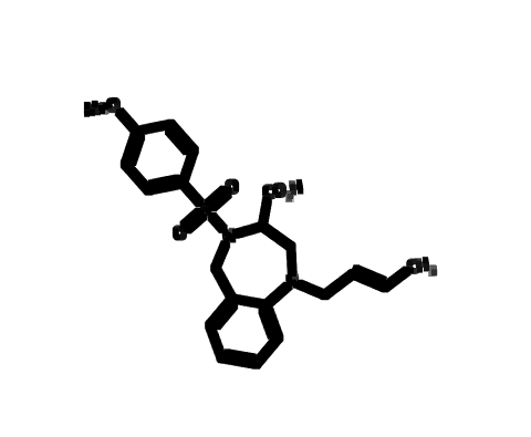 C/C=C/CN1CC(C(=O)O)N(S(=O)(=O)c2ccc(OC)cc2)Cc2ccccc21